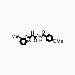 COc1ccc(C(=O)NNC(=O)Nc2nc3c(OC)cccc3s2)cc1